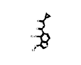 CCOc1csc2ccc(C(=O)CC(=O)C3CC3)c(SC)c12